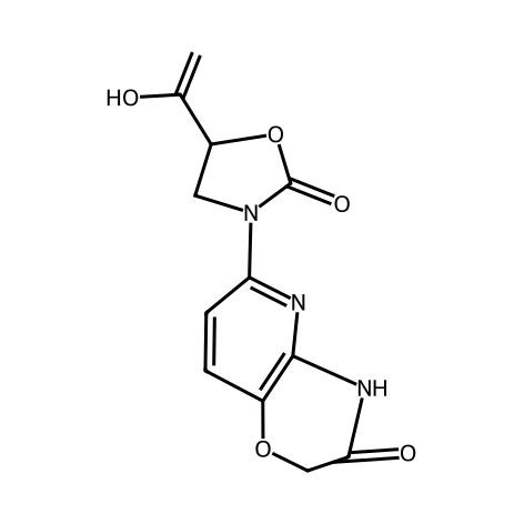 C=C(O)C1CN(c2ccc3c(n2)NC(=O)CO3)C(=O)O1